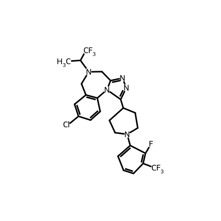 CC(N1Cc2cc(Cl)ccc2-n2c(nnc2C2CCN(c3cccc(C(F)(F)F)c3F)CC2)C1)C(F)(F)F